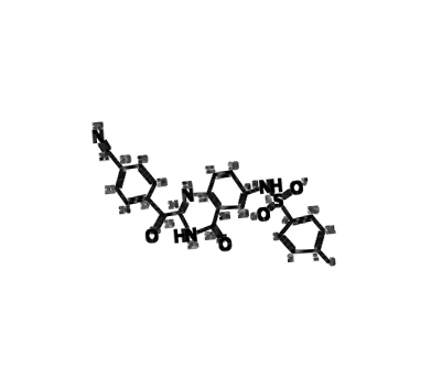 Cc1ccc(S(=O)(=O)Nc2ccc3nc(C(=O)c4ccc(C#N)cc4)[nH]c(=O)c3c2)cc1